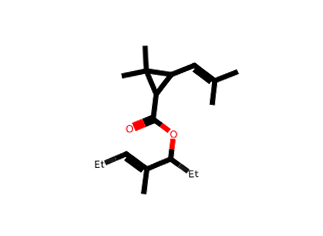 CCC=C(C)C(CC)OC(=O)C1C(C=C(C)C)C1(C)C